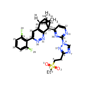 CCS(=O)(=O)CCc1ncn(-c2nccc([C@@]34CC[C@@H](c5cc(-c6c(F)cccc6F)nnc53)C4(C)C)n2)n1